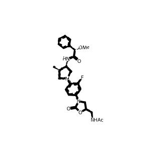 CO[C@H](C(=O)N[C@H]1CN(c2ccc(N3CC(CNC(C)=O)OC3=O)cc2F)C[C@H]1C)c1ccccc1